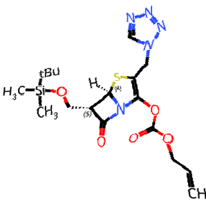 C=CCOC(=O)OC1=C(Cn2cnnn2)S[C@@H]2[C@@H](CO[Si](C)(C)C(C)(C)C)C(=O)N12